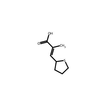 C/C(=C\C1CCCS1)C(=O)O